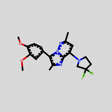 COc1ccc(-c2c(C)nc3c(N4CCC(F)(F)C4)cc(C)nn23)cc1OC